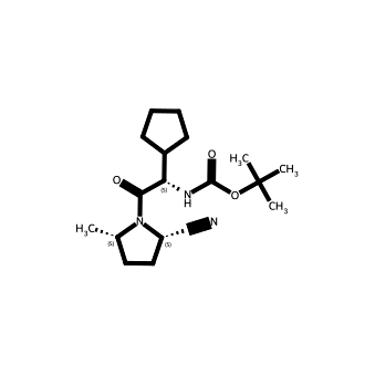 C[C@H]1CC[C@@H](C#N)N1C(=O)[C@@H](NC(=O)OC(C)(C)C)C1CCCC1